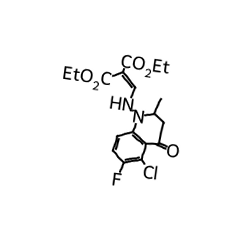 CCOC(=O)C(=CNN1c2ccc(F)c(Cl)c2C(=O)CC1C)C(=O)OCC